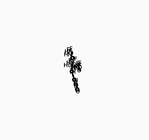 COC(=O)NC(C(=O)N[C@@H](Cc1ccc(C#Cc2ccc(N3CCN(C4CCOCC4)CC3)nc2)cc1)[C@@H](O)CNCc1c(F)cc(C(=N)/C=C\NC(F)F)cc1F)C(C)(C)C(F)(F)F